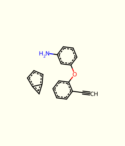 C#Cc1ccccc1Oc1cccc(N)c1.c1cc2cc-2c1